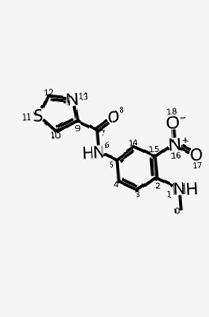 CNc1ccc(NC(=O)c2cscn2)cc1[N+](=O)[O-]